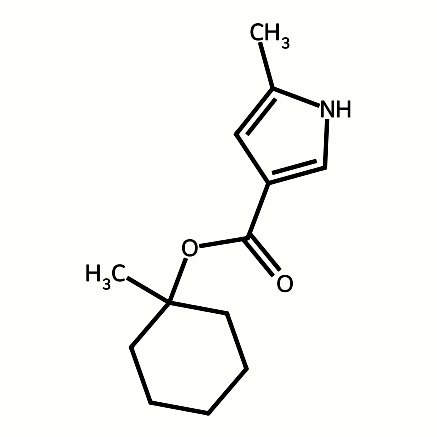 Cc1cc(C(=O)OC2(C)CCCCC2)c[nH]1